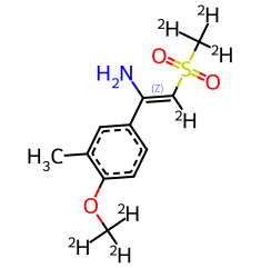 [2H]/C(=C(/N)c1ccc(OC([2H])([2H])[2H])c(C)c1)S(=O)(=O)C([2H])([2H])[2H]